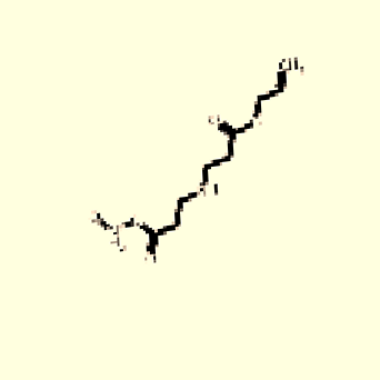 C=CCOC(=O)CCNCCC(=O)O[NH2+][O-]